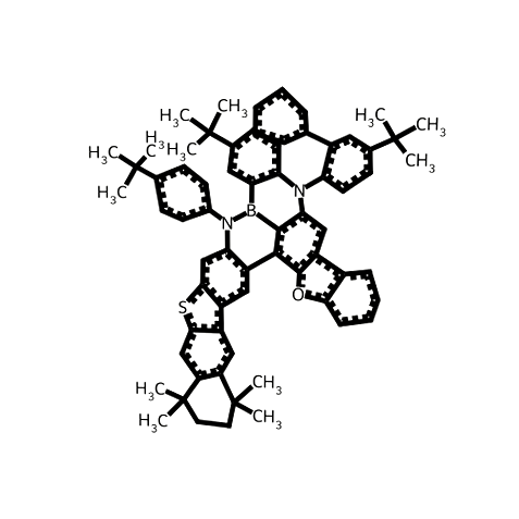 CC(C)(C)c1ccc(N2B3c4cc(C(C)(C)C)ccc4N(c4ccc(C(C)(C)C)cc4-c4ccccc4)c4cc5c(oc6ccccc65)c(c43)-c3cc4c(cc32)sc2cc3c(cc24)C(C)(C)CCC3(C)C)cc1